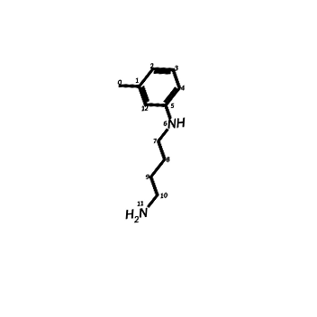 Cc1cccc(NCCCCN)c1